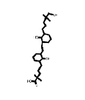 CC(C)(CO)CCCC1CCCC(/C=C/C2CCCC(CCCC(C)(C)C(=O)O)C2O)C1O